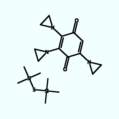 C[Si](C)(C)S[Si](C)(C)C.O=C1C=C(N2CC2)C(=O)C(N2CC2)=C1N1CC1